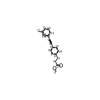 COC(=O)CCc1ccc(C#Cc2cccc(C)n2)cc1